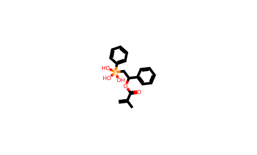 C=C(C)C(=O)OC(CP(O)(O)(O)c1ccccc1)c1ccccc1